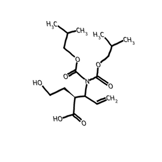 C=CC([C@H](CCO)C(=O)O)N(C(=O)OCC(C)C)C(=O)OCC(C)C